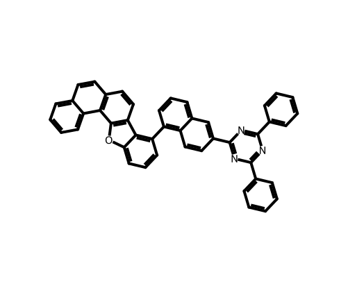 c1ccc(-c2nc(-c3ccccc3)nc(-c3ccc4c(-c5cccc6oc7c(ccc8ccc9ccccc9c87)c56)cccc4c3)n2)cc1